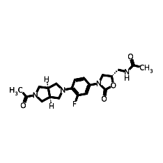 CC(=O)NC[C@H]1CN(c2ccc(N3C[C@H]4CN(C(C)=O)C[C@H]4C3)c(F)c2)C(=O)O1